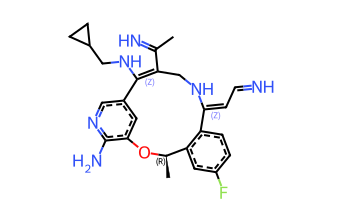 CC(=N)/C1=C(\NCC2CC2)c2cnc(N)c(c2)O[C@H](C)c2cc(F)ccc2/C(=C/C=N)NC1